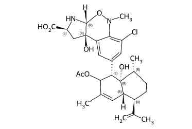 C=C(C)[C@@H]1CC[C@@H](C)[C@]2(O)[C@@H](c3cc(Cl)c4c(c3)[C@]3(O)C[C@@H](C(=O)O)N[C@@H]3ON4C)C(OC(C)=O)C(C)=C[C@@H]12